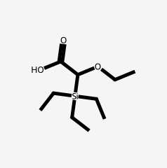 CCOC(C(=O)O)[Si](CC)(CC)CC